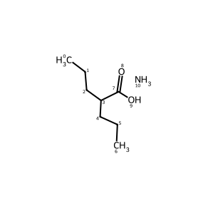 CCCC(CCC)C(=O)O.N